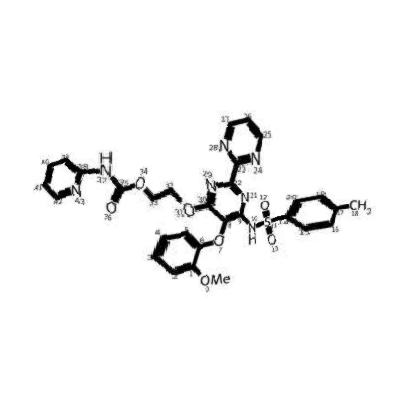 COc1ccccc1Oc1c(NS(=O)(=O)c2ccc(C)cc2)nc(-c2ncccn2)nc1OCCOC(=O)Nc1ccccn1